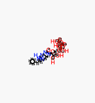 Nc1nc(=O)n([C@@H]2O[C@H](COP(=O)(O)OP(=O)(O)OP(=O)(O)O)C(O)[C@@H]2O)cc1Cn1cc(Cc2ccccc2)nn1